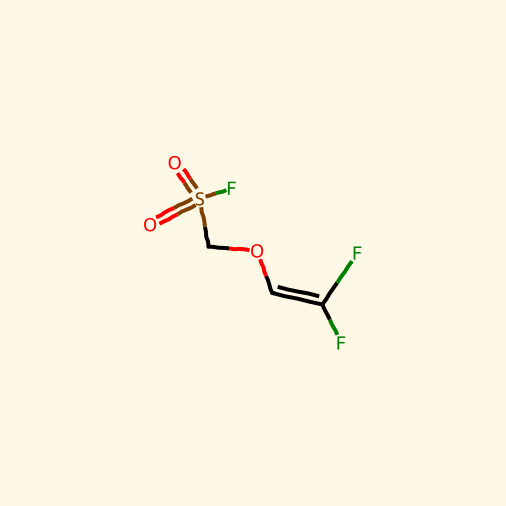 O=S(=O)(F)COC=C(F)F